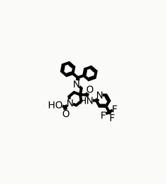 O=C(O)N1CCC(CN=C(c2ccccc2)c2ccccc2)(C(=O)Nc2cc(C(F)(F)F)ccn2)CC1